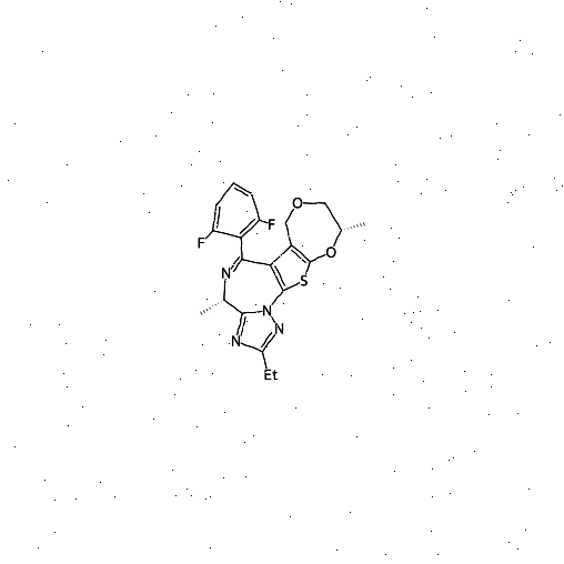 CCc1nc2n(n1)-c1sc3c(c1C(c1c(F)cccc1F)=N[C@H]2C)COC[C@H](C)O3